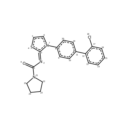 O=C(/N=c1\sccn1-c1ccc(-c2ccccc2Cl)cc1)N1CCCC1